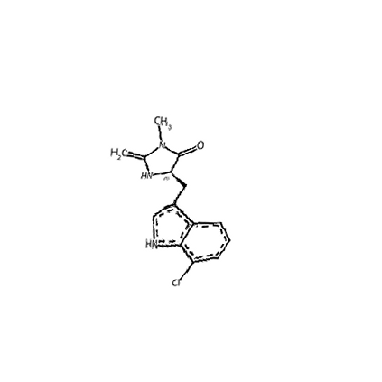 C=C1N[C@H](Cc2c[nH]c3c(Cl)cccc23)C(=O)N1C